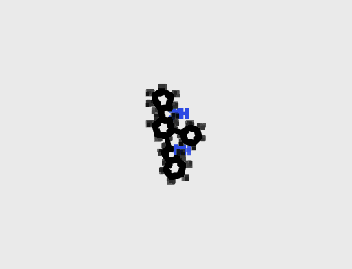 c1ccc(-c2c(-c3cc4ccccc4[nH]3)ccc3c2[nH]c2ccccc23)cc1